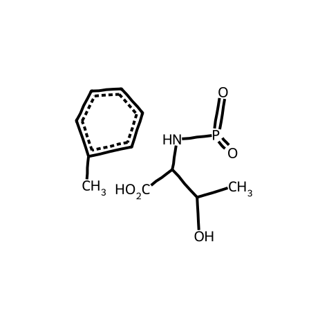 CC(O)C(NP(=O)=O)C(=O)O.Cc1ccccc1